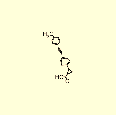 Cc1ccc(C#Cc2ccc(C3CC3C(=O)O)cc2)cc1